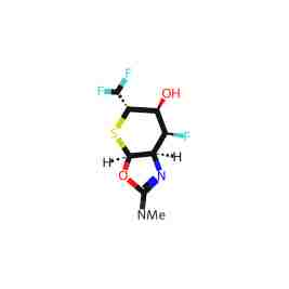 CNC1=N[C@@H]2[C@H](F)[C@H](O)[C@@H](C(F)F)S[C@@H]2O1